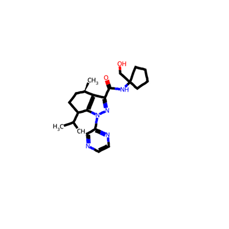 CC(C)C1CC[C@@H](C)c2c(C(=O)NC3(CO)CCCC3)nn(-c3cnccn3)c21